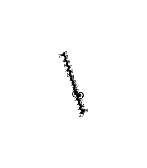 CC(C)CCCCCCCCCCCCCCCOC(=O)CCCCCC(C)C